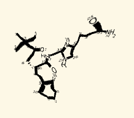 CC(C)(C)C(=O)C[C@@H](Cc1ccccc1)C(=O)Nc1nc(CCC(N)=O)c[nH]1